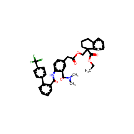 CCOC(=O)C1(COC(=O)Cc2ccc(NC(=O)c3ccccc3-c3ccc(C(F)(F)F)cc3)c(C(=O)N(C)C)c2)CCCc2ccccc21